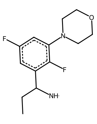 CCC([NH])c1cc(F)cc(N2CCOCC2)c1F